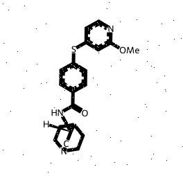 COc1cc(Sc2ccc(C(=O)N[C@H]3CN4CCC3CC4)cc2)ccn1